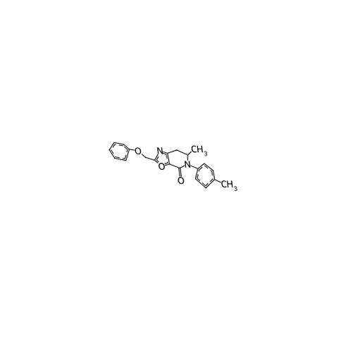 Cc1ccc(N2C(=O)c3oc(COc4ccccc4)nc3CC2C)cc1